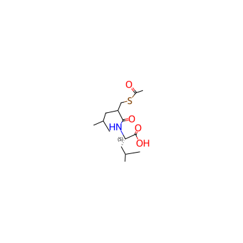 CC(=O)SCC(CC(C)C)C(=O)N[C@@H](CC(C)C)C(=O)O